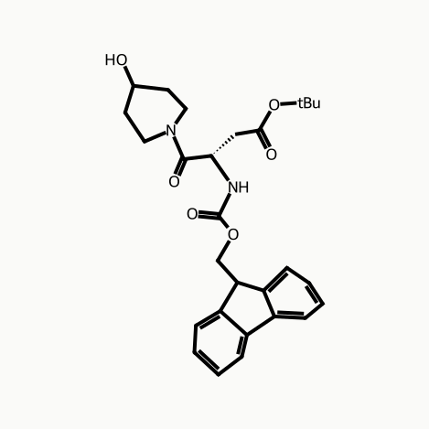 CC(C)(C)OC(=O)C[C@H](NC(=O)OCC1c2ccccc2-c2ccccc21)C(=O)N1CCC(O)CC1